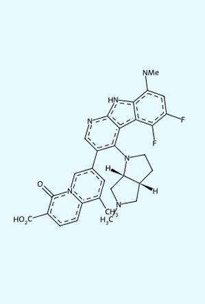 CNc1cc(F)c(F)c2c1[nH]c1ncc(-c3cc(C)c4ccc(C(=O)O)c(=O)n4c3)c(N3CC[C@@H]4CN(C)C[C@@H]43)c12